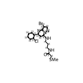 CSCC(=O)NCCCNc1cc(-c2ccccc2Cl)nc2c(Br)cnn12